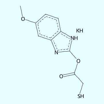 COc1ccc2[nH]c(OC(=O)CS)nc2c1.[KH]